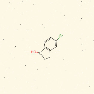 OB1CCc2cc(Br)ccc21